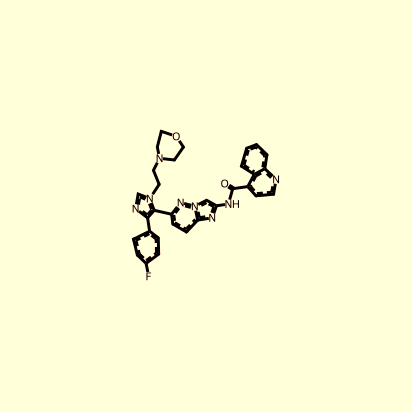 O=C(Nc1cn2nc(-c3c(-c4ccc(F)cc4)ncn3CCN3CCOCC3)ccc2n1)c1ccnc2ccccc12